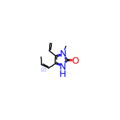 C=Cc1c(/C=C\C)[nH]c(=O)n1C